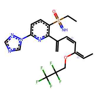 C=C(/C=C\C(=C/C)OCC(F)(F)C(F)(F)F)c1nc(-n2cncn2)ccc1S(=N)(=O)CC